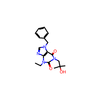 CCn1c(=O)n(CC(C)(C)O)c(=O)c2c1ncn2Cc1ccccc1